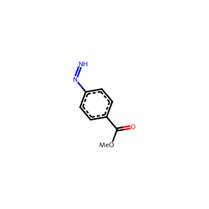 COC(=O)c1ccc(N=N)cc1